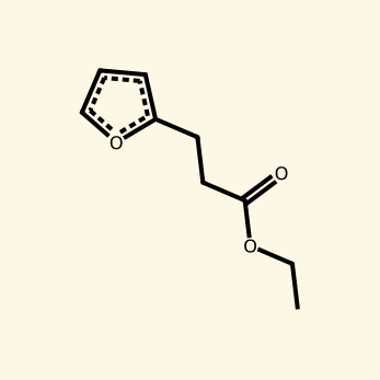 CCOC(=O)CCc1ccco1